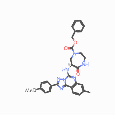 COc1ccc(-c2nc3c4ccc(C)cc4nc(N[C@@H]4CN(C(=O)OCc5ccccc5)CCNC4=O)n3n2)cc1